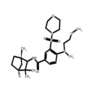 COCCN(C)c1ccc(C(=O)NC2C(C)(C)[C@@H]3CC[C@@]2(C)C3)cc1S(=O)(=O)N1CCOCC1